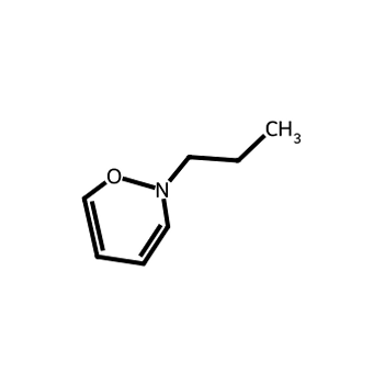 CCCN1C=CC=CO1